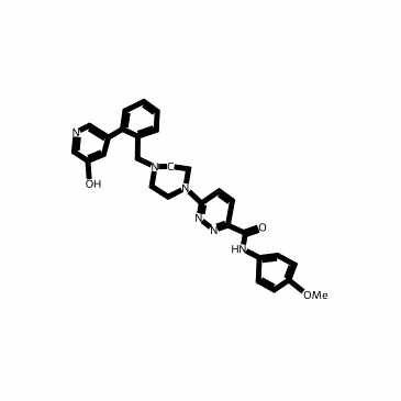 COc1ccc(NC(=O)c2ccc(N3CCN(Cc4ccccc4-c4cncc(O)c4)CC3)nn2)cc1